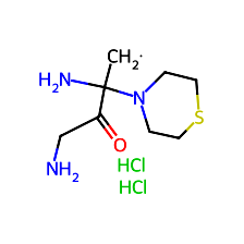 Cl.Cl.[CH2]C(N)(C(=O)CN)N1CCSCC1